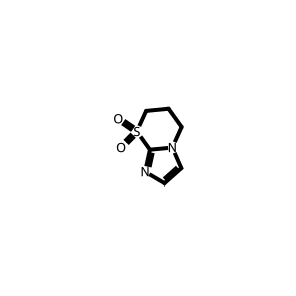 O=S1(=O)CCCn2c[c]nc21